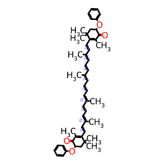 CC1=C(/C=C/C(C)=C/C=C/C(C)=C/C=C/C=C(C)/C=C/C=C(C)/C=C/C2=C(C)C(=O)C(Oc3ccccc3)CC2(C)C)C(C)(C)CC(Oc2ccccc2)C1=O